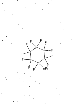 [CH2]CCC1(F)C(F)(F)C(F)(F)C(F)(F)C(F)(F)C1(F)F